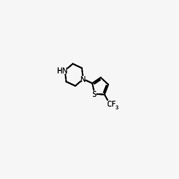 FC(F)(F)c1ccc(N2CCNCC2)s1